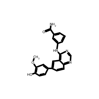 COc1cc(-c2ccc3ncnc(Nc4cccc(C(N)=O)c4)c3c2)ccc1O